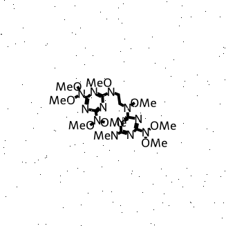 CNc1nc(N(CCN(OC)c2nc(N(OC)OC)nc(N(OC)OC)n2)OC)nc(N(OC)OC)n1